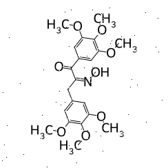 COc1cc(CC(=NO)C(=O)c2cc(OC)c(OC)c(OC)c2)cc(OC)c1OC